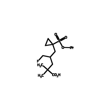 CC(C)OS(=O)(=O)C1(CC(CF)CC(C)(C)C(=O)O)CC1